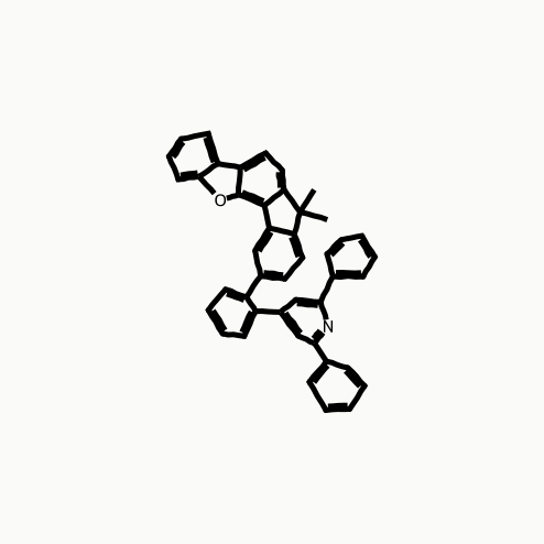 CC1(C)c2ccc(-c3ccccc3-c3cc(-c4ccccc4)nc(-c4ccccc4)c3)cc2-c2c1ccc1c2oc2ccccc21